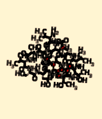 CC(C)[C@H](N)C(=O)N[C@H](C(=O)NCC(=O)N[C@@H](C)C(=O)N[C@H](C(=O)N[C@@H](CO)C(=O)N[C@@H](CC(=O)O)C(=O)N[C@@H](Cc1c[nH]cn1)C(=O)N[C@H](C(=O)N[C@H](C(=O)N[C@H](C(=O)N[C@@H](CCC(=O)O)C(=O)N[C@@H](CC(=O)O)C(=O)N[C@H](C(=O)O)[C@@H](C)O)C(C)C)[C@@H](C)O)[C@@H](C)O)C(C)C)[C@@H](C)O